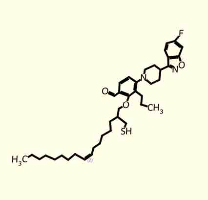 CCCCCCCC/C=C\CCCCCC(CS)COc1c(C=O)ccc(N2CCC(c3noc4cc(F)ccc34)CC2)c1CCC